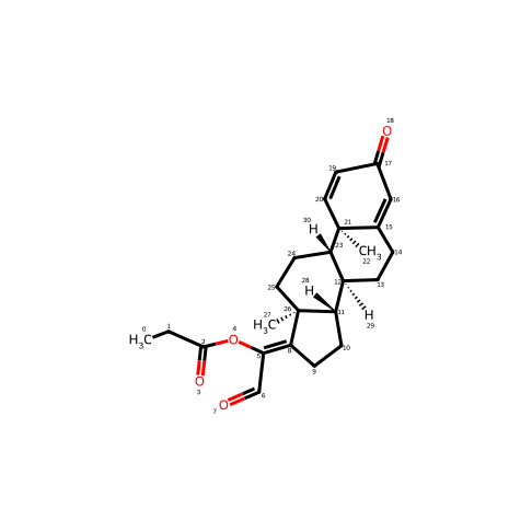 CCC(=O)O/C(C=O)=C1/CC[C@H]2[C@@H]3CCC4=CC(=O)C=C[C@]4(C)[C@H]3CC[C@]12C